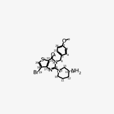 COc1ccc(Cn2c(N3CCC[C@@H](N)C3)nc3c(Br)csc3c2=O)cc1